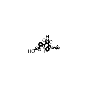 CN(C)CCCn1cc(C2=C(c3c[nH]c4c(C(=O)OCCO)cccc34)C(=O)NC2=O)c2ccccc21